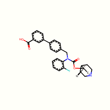 O=C(O)c1cccc(-c2ccc(CN(C(=O)O[C@H]3CN4CCC3CC4)c3ccccc3F)cc2)c1